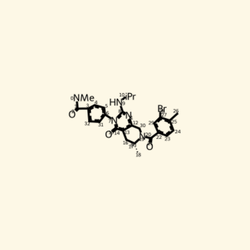 CNC(=O)c1ccc(-n2c(NC(C)C)nc3c(c2=O)C[C@@H](C)N(C(=O)c2ccc(C)c(Br)c2)C3)cc1